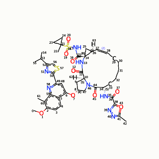 COc1ccc2c(O[C@@H]3C[C@H]4C(=O)N[C@]5(C(=O)NS(=O)(=O)C6(C)CC6)C[C@H]5/C=C\CCCCC[C@H](NC(=O)c5nnc(C)o5)C(=O)N4C3)cc(-c3nc(C(C)C)cs3)nc2c1C